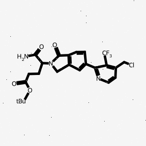 CC(C)(C)OC(=O)CCC(C(N)=O)N1Cc2cc(-c3nccc(CCl)c3C(F)(F)F)ccc2C1=O